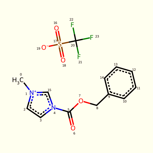 C[n+]1ccn(C(=O)OCc2ccccc2)c1.O=S(=O)([O-])C(F)(F)F